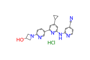 Cl.N#Cc1ccnc(Nc2cc(C3CC3)cc(-c3ccc(N4CC(O)C4)nc3)n2)c1